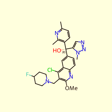 COc1nc2ccc([C@@](O)(c3ccc(C)nc3C)c3cnnn3C)cc2c(Cl)c1CN1CCC(F)CC1